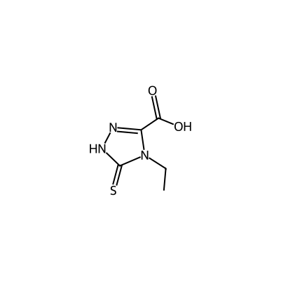 CCn1c(C(=O)O)n[nH]c1=S